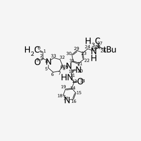 C=CC(=O)N1CCC[C@@H](n2c(NC(=O)c3ccncc3)nc3cc(CN[C@@H](C)C(C)(C)C)ccc32)CC1